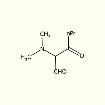 CCCC(=O)C(C=O)N(C)C